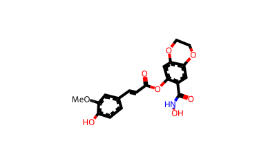 COc1cc(/C=C/C(=O)Oc2cc3c(cc2C(=O)NO)OCCO3)ccc1O